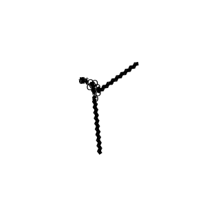 CCCCCCCCCCCCCCCCCCCCOC[C@H](COP(=O)([O-])OCC[N+](C)(C)C)OC(=O)CCCCCCCCCCCCCCCCC